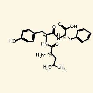 CC(C)C[C@H](N)C(=O)N[C@@H](Cc1ccc(O)cc1)C(=O)N[C@@H](Cc1ccccc1)C(=O)O